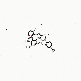 CCc1cccc(CC)c1-n1nc2c(c1-c1c(C)cc(C)c3[nH]ccc13)CN(c1ncc(C3CC3)cn1)CC2